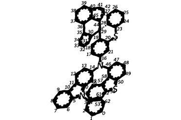 c1ccc(-n2c3ccccc3c3ccc(N(c4ccc5c(c4)Sc4ccccc4[C@@]54c5ccccc5-c5cccc6cccc4c56)c4cccc5sc6ccccc6c45)cc32)cc1